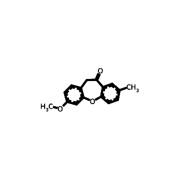 COc1ccc2c(c1)Oc1ccc(C)cc1C(=O)C2